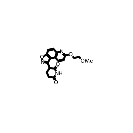 COCCOc1ccc2c(ccc3onc(C4CCC(=O)NC4=O)c32)n1